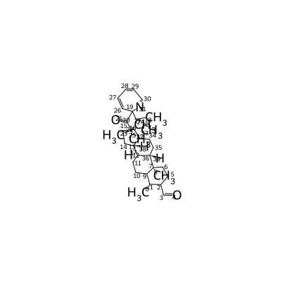 CC1C(C=O)CC[C@@]2(C)C1CC[C@H]1[C@@H]3CC[C@H](C(C)C4(C(=O)C(C)(C)C)C=CC=CC=N4)[C@@]3(C)CC[C@@H]12